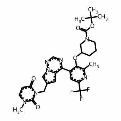 Cc1nc(C(F)(F)F)cc(-c2ncnn3cc(Cn4c(=O)ccn(C)c4=O)cc23)c1OC1CCCN(C(=O)OC(C)(C)C)C1